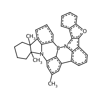 Cc1cc2c3c(c1)N1c4c(cccc4C4(C)CCCCC14C)B3n1c3c-2cccc3c2oc3ccccc3c21